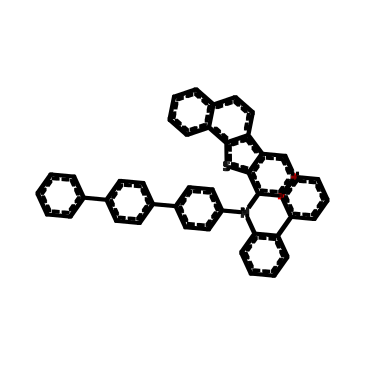 c1ccc(-c2ccc(-c3ccc(N(c4ccccc4-c4ccccc4)c4cncc5c4sc4c6ccccc6ccc54)cc3)cc2)cc1